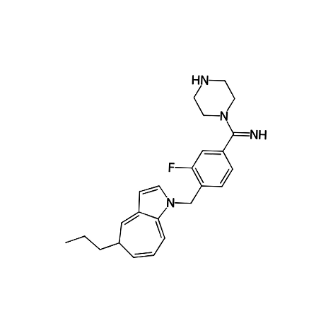 CCCC1C=CC=c2c(ccn2Cc2ccc(C(=N)N3CCNCC3)cc2F)=C1